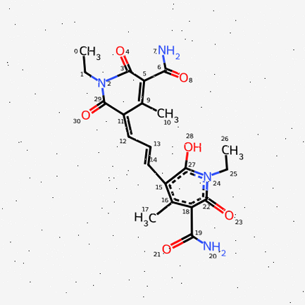 CCN1C(=O)C(C(N)=O)=C(C)/C(=C\C=C\c2c(C)c(C(N)=O)c(=O)n(CC)c2O)C1=O